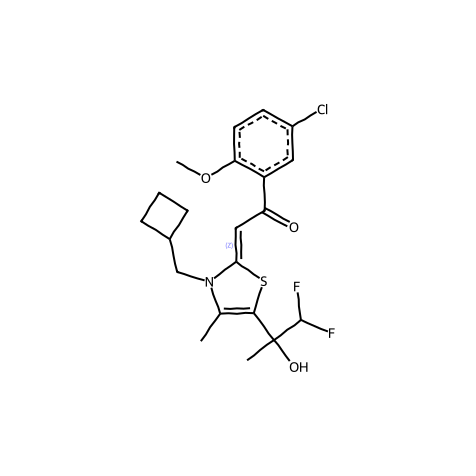 COc1ccc(Cl)cc1C(=O)/C=C1\SC(C(C)(O)C(F)F)=C(C)N1CC1CCC1